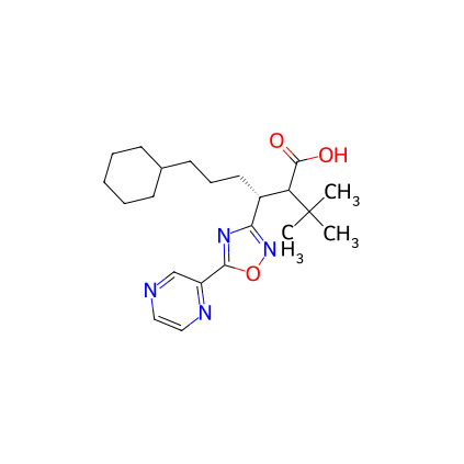 CC(C)(C)C(C(=O)O)[C@@H](CCCC1CCCCC1)c1noc(-c2cnccn2)n1